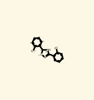 Clc1ccccc1C1=NOC(c2ccccc2Cl)N1